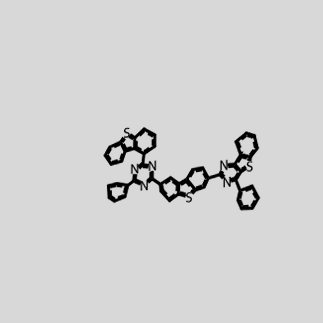 c1ccc(-c2nc(-c3ccc4sc5cc(-c6nc(-c7ccccc7)c7sc8ccccc8c7n6)ccc5c4c3)nc(-c3cccc4sc5ccccc5c34)n2)cc1